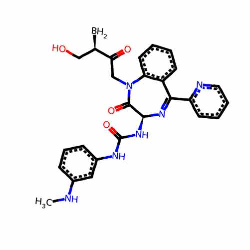 B[C@H](CO)C(=O)CN1C(=O)[C@H](NC(=O)Nc2cccc(NC)c2)N=C(c2ccccn2)c2ccccc21